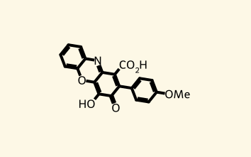 COc1ccc(-c2c(C(=O)O)c3nc4ccccc4oc-3c(O)c2=O)cc1